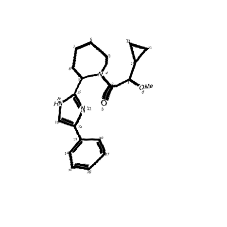 COC(C(=O)N1CCCCC1c1nc(-c2ccccc2)c[nH]1)C1CC1